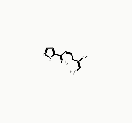 C=C(/C=C\C/C(=C\C)CCC)c1ccn[nH]1